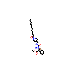 CCCCCCCCCCCC(=O)N1CCC(CNC(=O)Nc2sc3c(c2C(=O)OCC)CCCC3)CC1